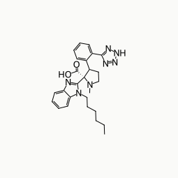 CCCCCCn1c([C@@]2(C(=O)O)C(c3ccccc3-c3nn[nH]n3)CCN2C)nc2ccccc21